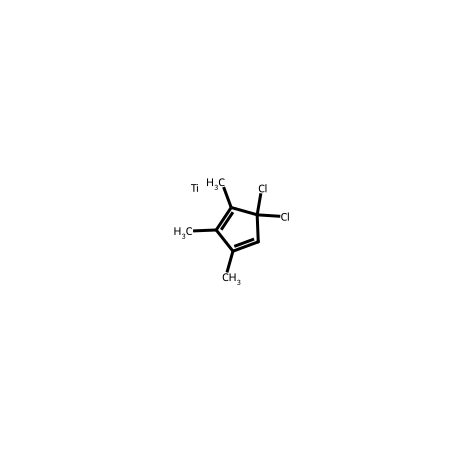 CC1=CC(Cl)(Cl)C(C)=C1C.[Ti]